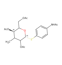 CC(=O)Nc1ccc(S[C@H]2OC(COC(C)=O)[C@H](OC(C)=O)C(C)C2OC(C)=O)cc1